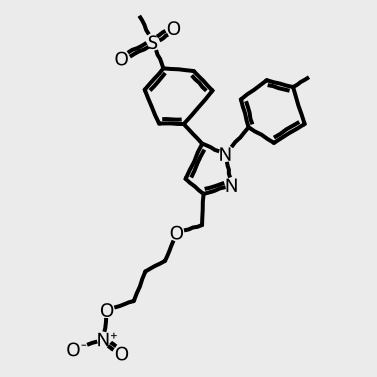 Cc1ccc(-n2nc(COCCCO[N+](=O)[O-])cc2-c2ccc(S(C)(=O)=O)cc2)cc1